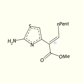 CCCCC/C=C(/C(=O)OC)c1csc(N)n1